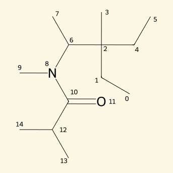 CCC(C)(CC)C(C)N(C)C(=O)C(C)C